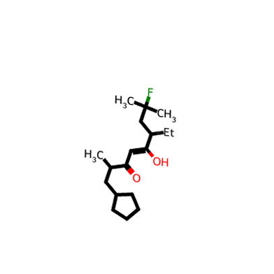 CCC(CC(C)(C)F)/C(O)=C/C(=O)C(C)CC1CCCC1